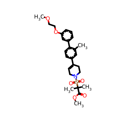 COCCOc1cccc(-c2ccc(C3=CCN(S(=O)(=O)C(C)(C)C(=O)OC)CC3)cc2C)c1